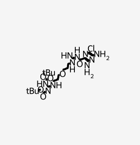 CC(C)(C)OC(=O)N=C(NCCCOCCCNC(=N)NC(=O)c1nc(Cl)c(N)nc1N)NC(=O)OC(C)(C)C